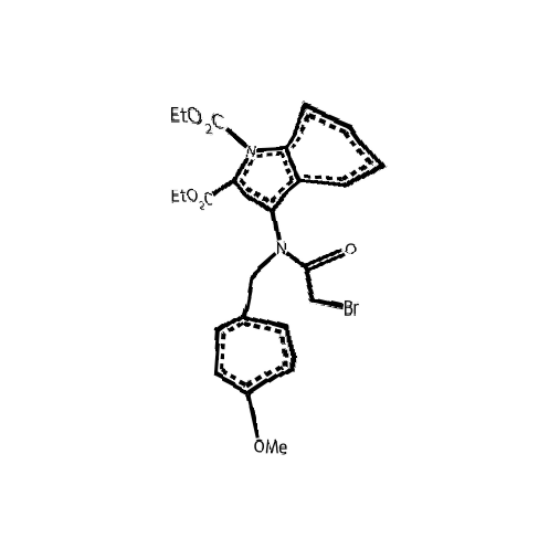 CCOC(=O)c1c(N(Cc2ccc(OC)cc2)C(=O)CBr)c2ccccc2n1C(=O)OCC